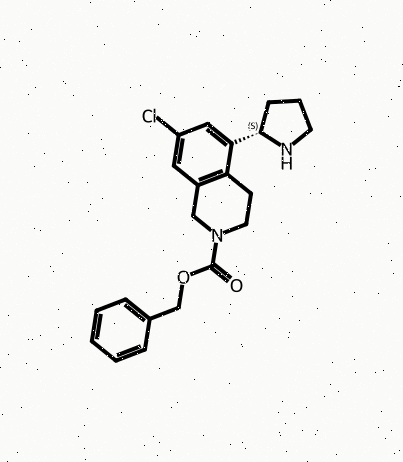 O=C(OCc1ccccc1)N1CCc2c(cc(Cl)cc2[C@@H]2CCCN2)C1